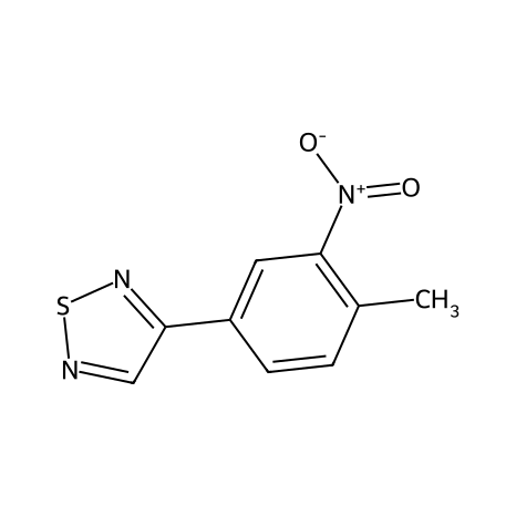 Cc1ccc(-c2cnsn2)cc1[N+](=O)[O-]